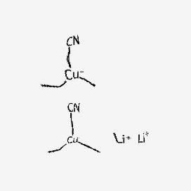 [CH3][Cu-]([CH3])[C]#N.[CH3][Cu-]([CH3])[C]#N.[Li+].[Li+]